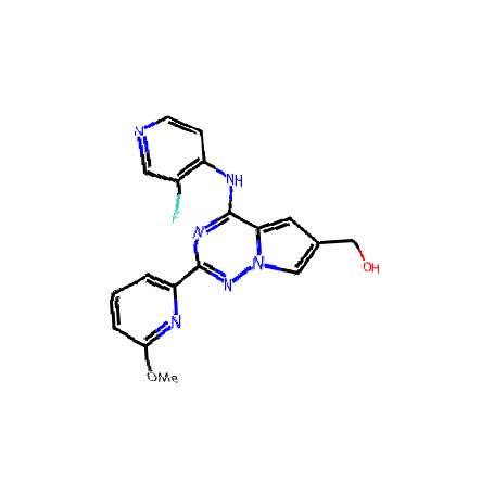 COc1cccc(-c2nc(Nc3ccncc3F)c3cc(CO)cn3n2)n1